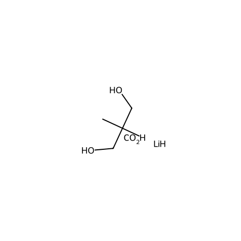 CC(CO)(CO)C(=O)O.[LiH]